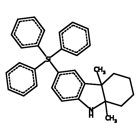 CC12CCCCC1(C)c1cc([Si](c3ccccc3)(c3ccccc3)c3ccccc3)ccc1N2